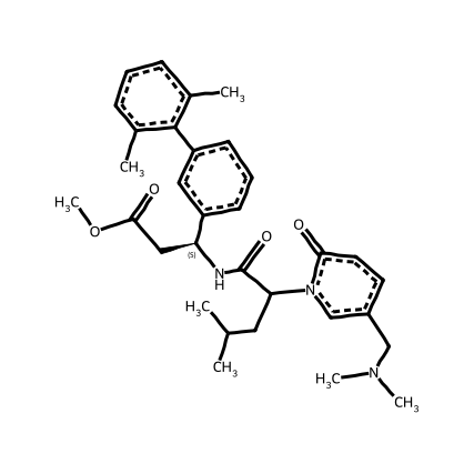 COC(=O)C[C@H](NC(=O)C(CC(C)C)n1cc(CN(C)C)ccc1=O)c1cccc(-c2c(C)cccc2C)c1